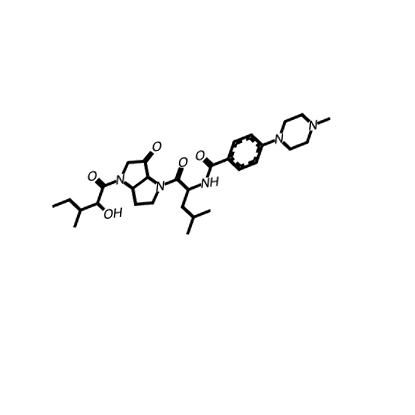 CCC(C)C(O)C(=O)N1CC(=O)C2C1CCN2C(=O)C(CC(C)C)NC(=O)c1ccc(N2CCN(C)CC2)cc1